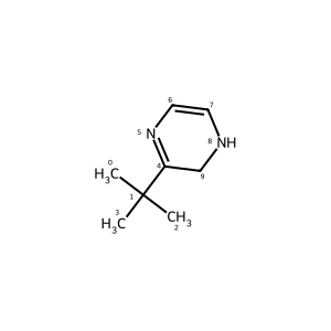 CC(C)(C)C1=NC=CNC1